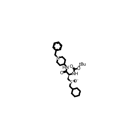 CC(C)(C)OC(=O)N[C@@H](C[S+]([O-])CC1CCCCC1)C(=O)NC1CCN(Cc2ccccc2)CC1